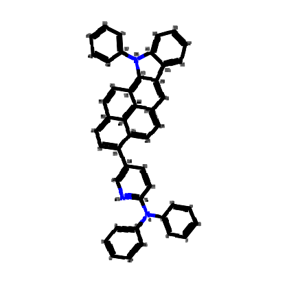 c1ccc(N(c2ccccc2)c2ccc(-c3ccc4ccc5c6c(ccc3c46)cc3c4ccccc4n(-c4ccccc4)c35)cn2)cc1